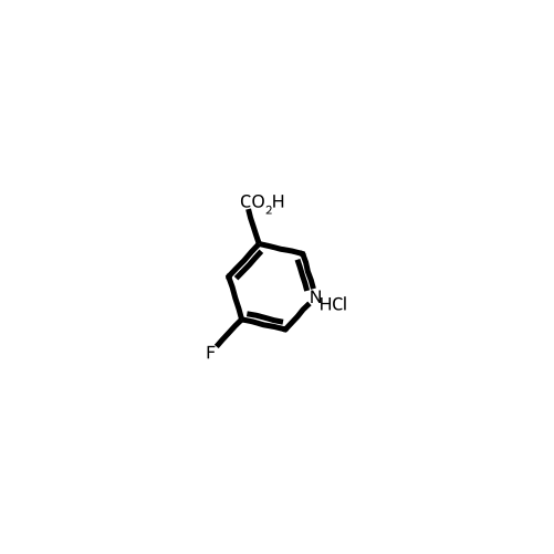 Cl.O=C(O)c1cncc(F)c1